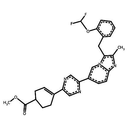 COC(=O)C1CC=C(c2cnc(-c3ccc4nc(C)c(Cc5ccccc5OC(F)F)n4c3)cn2)CC1